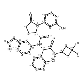 N#Cc1ccnc(N2C(=O)CC[C@H]2C(=O)N(c2ccc3[nH]ncc3c2)[C@H](C(=O)NC2CC(F)(F)C2)c2ccccc2Cl)c1